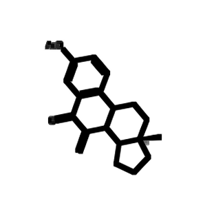 C=C1C(=O)c2cc(OC(C)=O)ccc2C2CC[C@]3(C)CCCC3C12